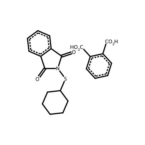 O=C(O)c1ccccc1C(=O)O.O=C1c2ccccc2C(=O)N1SC1CCCCC1